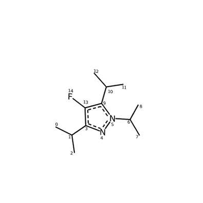 CC(C)c1nn(C(C)C)c(C(C)C)c1F